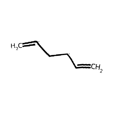 C=[C]C[CH]C=C